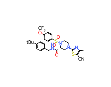 Cc1nc(N2CCN(S(=O)(=O)c3ccc(OC(F)(F)F)cc3)[C@@H](C(=O)NCc3ccc(C(C)(C)C)cc3)C2)sc1C#N